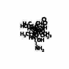 CC(C)C[C@H](NC(=O)[C@H](CC(C)C)N(C)C(=O)[C@H](Cc1cccc2ccccc12)NC(=O)OC(C)(C)C)[C@@H](O)CC(=O)N[C@H](CO)CCCCN.Cl